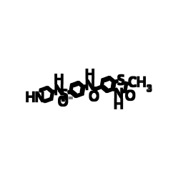 CC1Sc2ccc(C(=O)Nc3ccc([S+]([O-])NC4CCNCC4)cc3)cc2NC1=O